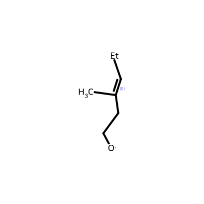 CC/C=C(\C)CC[O]